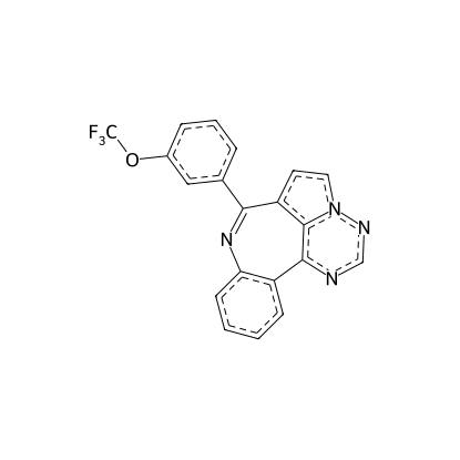 FC(F)(F)Oc1cccc(C2=Nc3ccccc3-c3ncnn4ccc2c34)c1